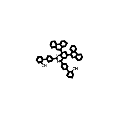 N#Cc1ccccc1-c1ccc(-c2nc(-c3ccc(-c4ccccc4C#N)cc3)c3cc(-c4cc5ccccc5c5ccccc45)cc(-c4cc5ccccc5c5ccccc45)c3n2)cc1